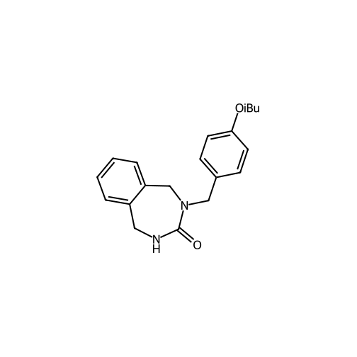 CC(C)COc1ccc(CN2Cc3ccccc3CNC2=O)cc1